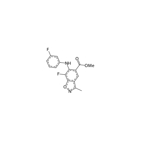 COC(=O)c1cc2c(C)noc2c(F)c1Nc1cccc(F)c1